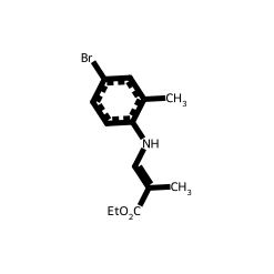 CCOC(=O)C(C)=CNc1ccc(Br)cc1C